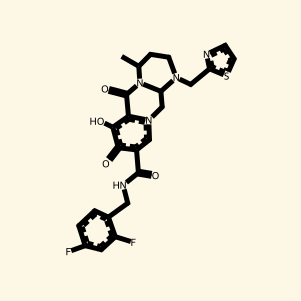 CC1CCN(Cc2nccs2)C2Cn3cc(C(=O)NCc4ccc(F)cc4F)c(=O)c(O)c3C(=O)N12